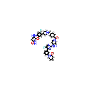 O=C1CCC(Nc2ccc(C3CCN(C[C@H]4CC[C@H](C(=O)N5CCC(Nc6ncc(F)c(-c7cccc(N8CCCCC8=O)c7)n6)CC5)CC4)CC3)c(F)c2)C(=O)N1